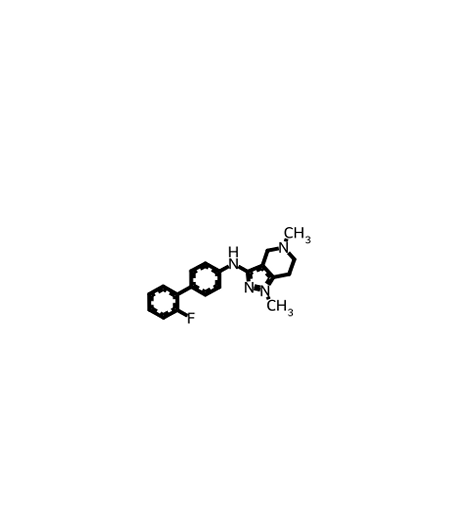 CN1CCc2c(c(Nc3ccc(-c4ccccc4F)cc3)nn2C)C1